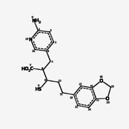 Nc1ccc(CC(C(=O)O)C(S)CCc2ccc3c(c2)OCO3)cn1